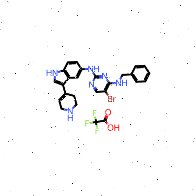 Brc1cnc(Nc2ccc3[nH]cc(C4=CCNCC4)c3c2)nc1NCc1ccccc1.O=C(O)C(F)(F)F